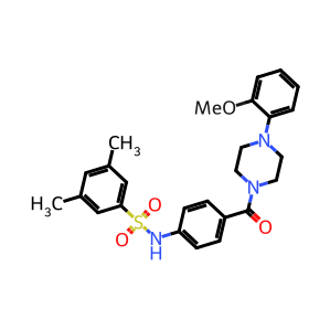 COc1ccccc1N1CCN(C(=O)c2ccc(NS(=O)(=O)c3cc(C)cc(C)c3)cc2)CC1